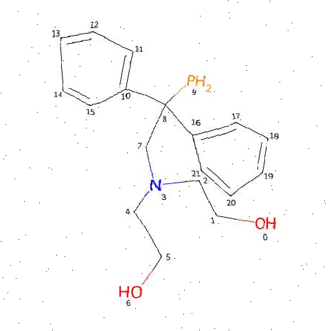 OCCN(CCO)CC(P)(c1ccccc1)c1ccccc1